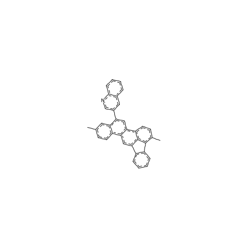 Cc1ccc2c(c1)c(-c1cnc3ccccc3c1)cc1c3ccc(C)c4c3c(cc21)-c1ccccc1-4